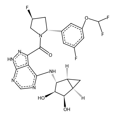 O=C(c1n[nH]c2ncnc(N[C@H]3[C@H](O)[C@H](O)[C@@H]4C[C@@H]43)c12)N1C[C@@H](F)C[C@@H]1c1cc(F)cc(OC(F)F)c1